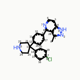 Cc1n[nH]c2ccnc(-c3ccc(C4(c5ccc(Cl)cc5)CCNCC4)cc3)c12